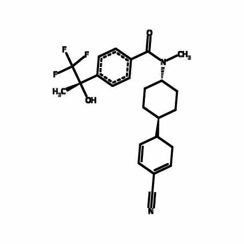 CN(C(=O)c1ccc([C@](C)(O)C(F)(F)F)cc1)[C@H]1CC[C@H](C2C=CC(C#N)=CC2)CC1